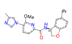 COc1nc(C(=O)N[C@@H]2COc3ccc(C(C)C)cc32)ccc1-n1cnc(C)c1